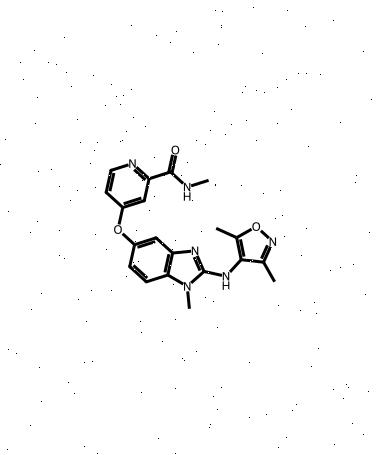 CNC(=O)c1cc(Oc2ccc3c(c2)nc(Nc2c(C)noc2C)n3C)ccn1